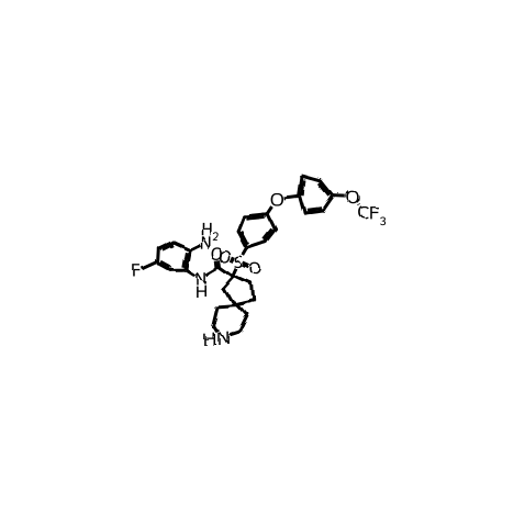 Nc1ccc(F)cc1NC(=O)C1(S(=O)(=O)c2ccc(Oc3ccc(OC(F)(F)F)cc3)cc2)CCC2(CCNCC2)C1